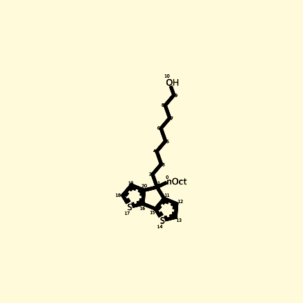 CCCCCCCCC1(CCCCCCCCO)c2ccsc2-c2sccc21